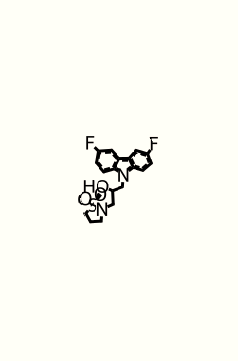 O=S1(=O)CCCN1CC(O)Cn1c2ccc(F)cc2c2cc(F)ccc21